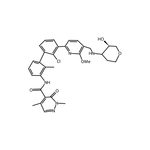 COc1nc(-c2cccc(-c3cccc(NC(=O)c4c(C)cnn(C)c4=O)c3C)c2Cl)ccc1CNC1CCOC[C@@H]1O